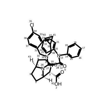 O=C(O)[C@@H]1[C@H]2CC[C@@H](CCN1C(=O)N(c1ccccc1)c1ccccc1)N2C(=O)N(Cc1ccc(Cl)cc1)CC1CC1